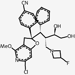 COc1nc(Cl)cc2c1C[C@](c1ccc(C#N)cc1)([C@H](c1ccccc1)[C@@H](CN1CC(F)C1)[C@@H](O)CO)O2